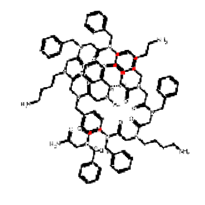 CC(=O)N(CC(=O)N(CC(=O)N(CCCCN)CC(=O)N(CC(=O)N(CC(=O)N(CCCCN)CC(=O)N(CC(=O)N(CC(=O)N(CCCCN)CC(=O)N(CC(=O)N(CC(N)=O)[C@@H](C)c1ccccc1)Cc1ccccc1)Cc1ccccc1)Cc1ccccc1)Cc1ccccc1)Cc1ccccc1)Cc1ccccc1)[C@@H](C)c1ccccc1